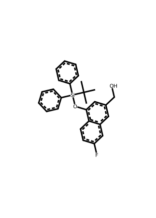 CC(C)(C)[Si](Oc1cc(CO)cc2cc(F)ccc12)(c1ccccc1)c1ccccc1